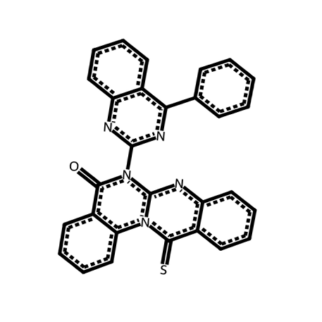 O=c1c2ccccc2n2c(=S)c3ccccc3nc2n1-c1nc(-c2ccccc2)c2ccccc2n1